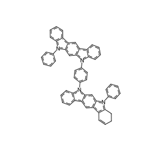 C1=Cc2c(n(-c3ccccc3)c3cc4c(cc23)c2ccccc2n4-c2ccc(-n3c4ccccc4c4cc5c6ccccc6n(-c6ccccc6)c5cc43)cc2)CC1